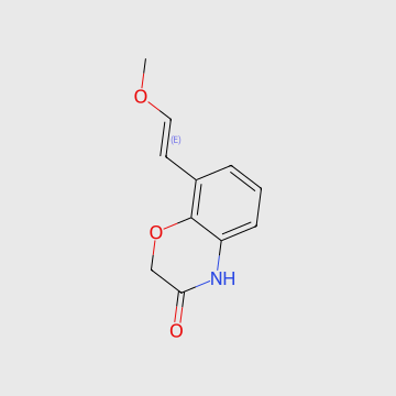 CO/C=C/c1cccc2c1OCC(=O)N2